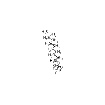 O=S(=O)(O[SiH2][SiH2][SiH2][SiH2][SiH2][SiH2][SiH2][SiH2][SiH2][SiH2][SiH3])C(F)(F)F